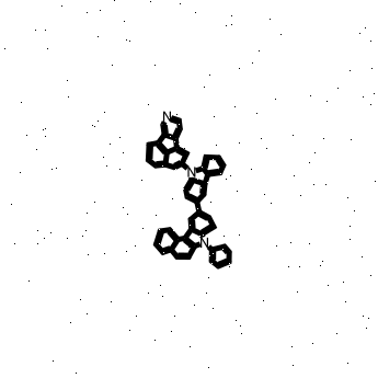 c1ccc(-n2c3ccc(-c4ccc5c(c4)c4ccccc4n5-c4cc5c6c(cccc6c4)-c4cnccc4-5)cc3c3c4ccccc4ccc32)cc1